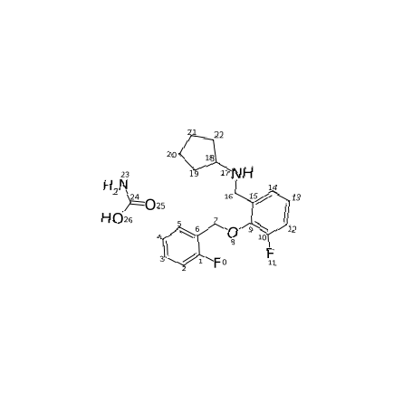 Fc1ccccc1COc1c(F)cccc1CNC1CCCC1.NC(=O)O